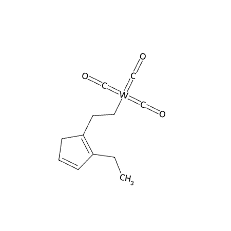 CCC1=C(C[CH2][W](=[C]=O)(=[C]=O)=[C]=O)CC=C1